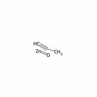 C#CC.[O]=[Zn]